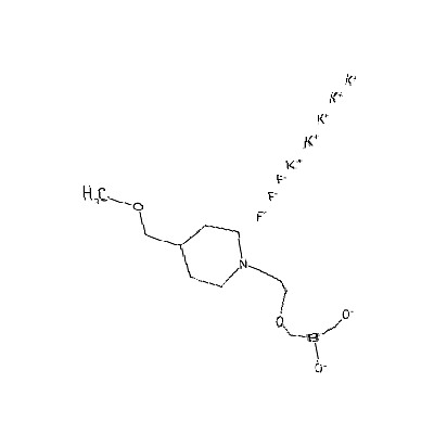 COCC1CCN(COB([O-])[O-])CC1.[F-].[F-].[F-].[K+].[K+].[K+].[K+].[K+]